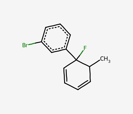 CC1C=CC=CC1(F)c1cccc(Br)c1